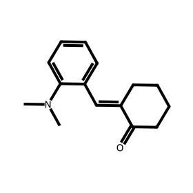 CN(C)c1ccccc1/C=C1\CCCCC1=O